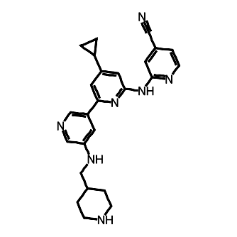 N#Cc1ccnc(Nc2cc(C3CC3)cc(-c3cncc(NCC4CCNCC4)c3)n2)c1